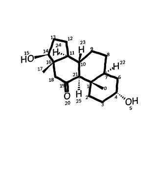 C[C@]12CC[C@@H](O)C[C@@H]1CC[C@H]1[C@@H]3CC[C@H](O)[C@@]3(C)CC(=O)[C@@H]12